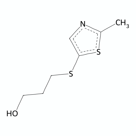 Cc1ncc(SCCCO)s1